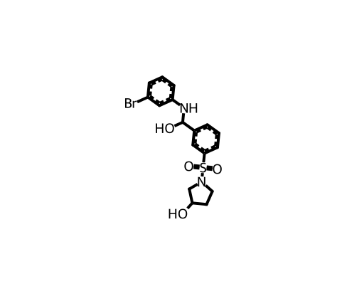 O=S(=O)(c1cccc(C(O)Nc2cccc(Br)c2)c1)N1CCC(O)C1